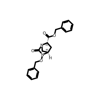 O=C(OCc1ccccc1)[C@@H]1C[C@@H]2CN1C(=O)N2OCc1ccccc1